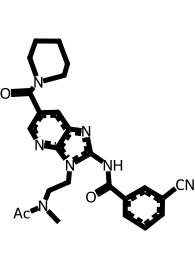 CC(=O)N(C)CCn1c(NC(=O)c2cccc(C#N)c2)nc2cc(C(=O)N3CCCCC3)cnc21